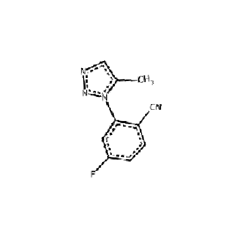 Cc1cnnn1-c1cc(F)ccc1C#N